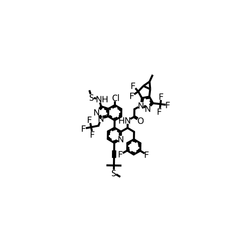 CSNc1nn(CC(F)(F)F)c2c(-c3ccc(C#CC(C)(C)SC)nc3C(Cc3cc(F)cc(F)c3)NC(=O)Cn3nc(C(F)(F)F)c4c3C(F)(F)C3C(C)C43)ccc(Cl)c12